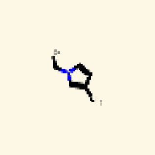 Cc1ccn(CC(C)C)c1